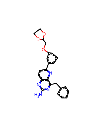 Nc1nc(Cc2ccccc2)c2nc(-c3cccc(OCC4OCCO4)c3)ccc2n1